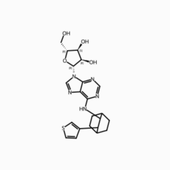 OC[C@H]1O[C@@H](n2cnc3c(NC4C5CCC(CC5)C4c4ccsc4)ncnc32)[C@H](O)[C@@H]1O